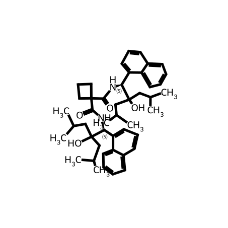 CC(C)CC(O)(CC(C)C)[C@@H](NC(=O)C1(C(=O)N[C@@H](c2cccc3ccccc23)C(O)(CC(C)C)CC(C)C)CCC1)c1cccc2ccccc12